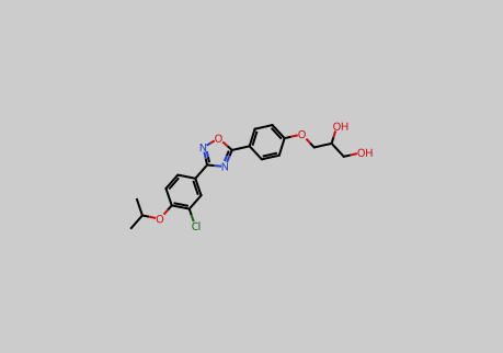 CC(C)Oc1ccc(-c2noc(-c3ccc(OCC(O)CO)cc3)n2)cc1Cl